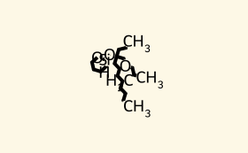 C=C(C)COCC(CCC)(CCCCCCCC)O[SiH]1CCCCO1